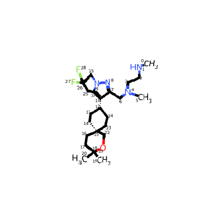 CNCCN(C)Cc1nn2c(c1[C@H]1CC[C@]3(CCC(C)(C)OC3)CC1)CC(F)(F)C2